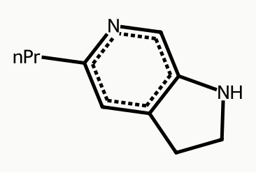 CCCc1cc2c(cn1)NCC2